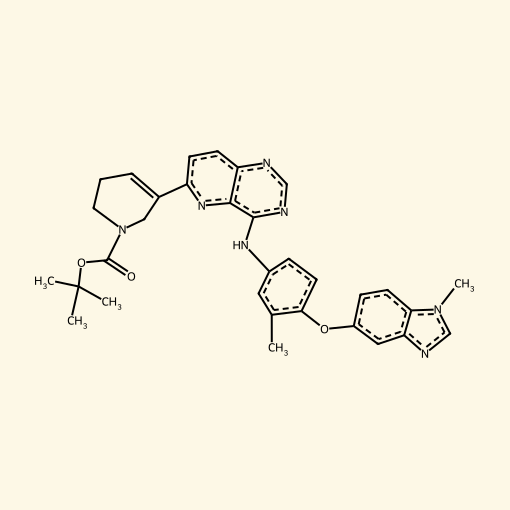 Cc1cc(Nc2ncnc3ccc(C4=CCCN(C(=O)OC(C)(C)C)C4)nc23)ccc1Oc1ccc2c(c1)ncn2C